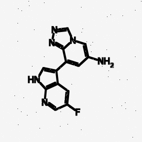 Nc1cc(-c2c[nH]c3ncc(F)cc23)c2nncn2c1